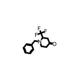 O=C1CCN(Cc2ccccc2)C(C(F)(F)F)C1